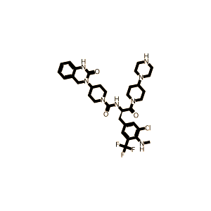 CNc1c(Cl)cc(C[C@@H](NC(=O)N2CCC(N3Cc4ccccc4NC3=O)CC2)C(=O)N2CCC(N3CCNCC3)CC2)cc1C(F)(F)F